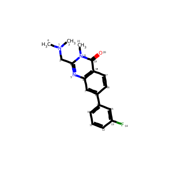 CN(C)Cc1nc2cc(-c3cccc(F)c3)ccc2c(=O)n1C